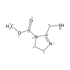 COC(=O)N1CCN=C1CS